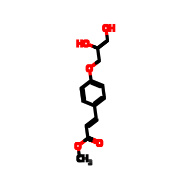 COC(=O)C=Cc1ccc(OCC(O)CO)cc1